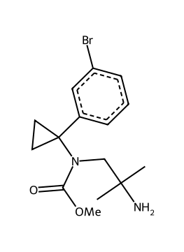 COC(=O)N(CC(C)(C)N)C1(c2cccc(Br)c2)CC1